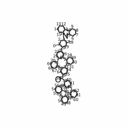 Cc1cc(-n2c3ccccc3c3ccccc32)c(C)cc1-c1ccc2c(c1)-c1ccccc1-c1ccc(C(=O)c3ccc4c(c3)C3(c5ccccc5-c5ccccc53)c3ccccc3-4)cc1-c1ccccc1-2